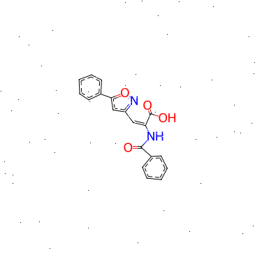 O=C(O)/C(=C\c1cc(-c2ccccc2)on1)NC(=O)c1ccccc1